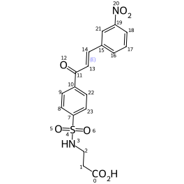 O=C(O)CCNS(=O)(=O)c1ccc(C(=O)/C=C/c2cccc([N+](=O)[O-])c2)cc1